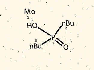 CCCCP(=O)(O)CCCC.[Mo]